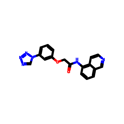 O=C(COc1cccc(-n2cnnn2)c1)Nc1cccc2cnccc12